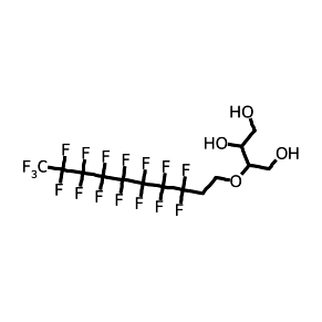 OCC(O)C(CO)OCCC(F)(F)C(F)(F)C(F)(F)C(F)(F)C(F)(F)C(F)(F)C(F)(F)C(F)(F)F